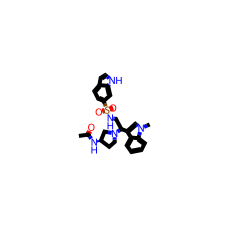 CC(=O)N[C@@H]1CCN(C(CNS(=O)(=O)c2ccc3cc[nH]c3c2)c2cn(C)c3ccccc23)C1